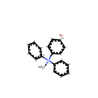 CCCCCCCC[N+](c1ccccc1)(c1ccccc1)c1ccccc1.[Br-]